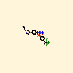 C=CCN1CC[C@H](c2ccc(NS(=O)(=O)c3ccc(C(C)C(F)(F)F)cc3)cc2)C1